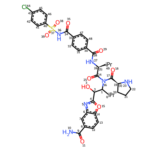 CC(C)C(C(O)c1nc2cc(C(N)=O)ccc2o1)N(C(=O)[C@@H]1CCCN1)C(=O)[C@@H](NC(=O)c1ccc(C(=O)NS(=O)(=O)c2ccc(Cl)cc2)cc1)C(C)C